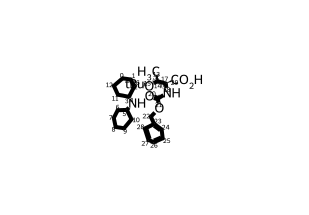 C1CCC(NC2CCCCC2)CC1.C[C@H](OC(C)(C)C)[C@@H](NC(=O)OCc1ccccc1)C(=O)O